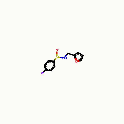 [O-][S+](NCc1ccco1)c1ccc(I)cc1